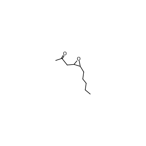 CCCCCC1OC1CC(C)=O